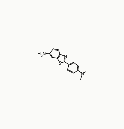 CN(C)c1ccc(-c2nc3ccc(N)cc3s2)cc1